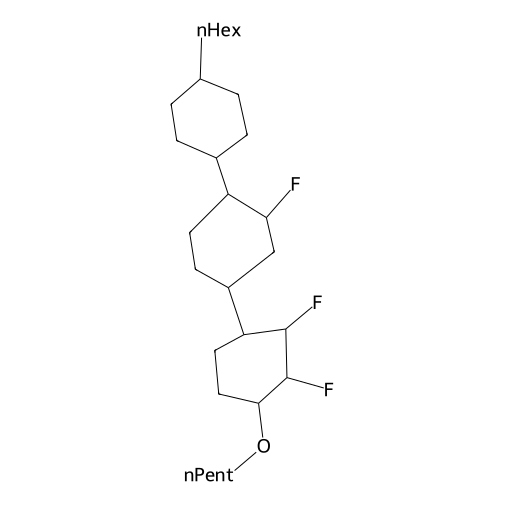 CCCCCCC1CCC(C2CCC(C3CCC(OCCCCC)C(F)C3F)CC2F)CC1